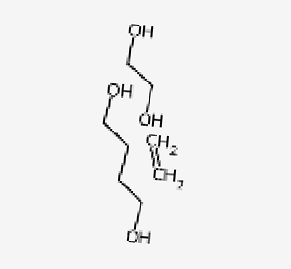 C=C.OCCCCO.OCCO